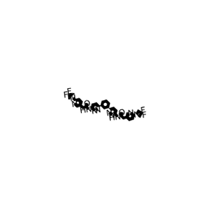 O=C(Cc1ccc(N2CC(F)(F)C2)nc1)Nc1ccc([C@H]2CCC[C@H](c3ccc(NC(=O)Cc4ccc(N5CC(F)(F)C5)nc4)nn3)C2)nn1